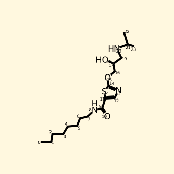 CCCCCCCCNC(=O)c1cnc(OCC(O)CNC(C)C)s1